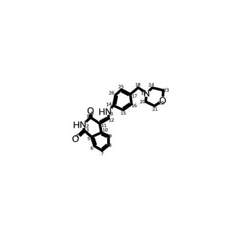 O=C1NC(=O)c2ccccc2/C1=C/Nc1ccc(CN2CCOCC2)cc1